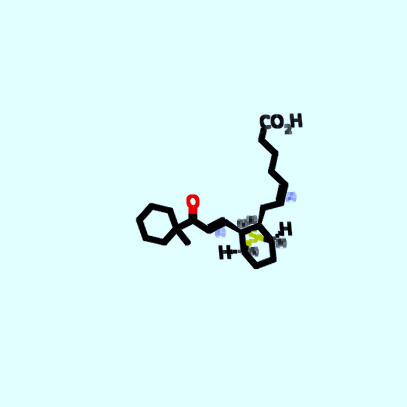 CC1(C(=O)/C=C/[C@H]2[C@@H](C/C=C\CCCC(=O)O)[C@H]3CC[C@@H]2S3)CCCCC1